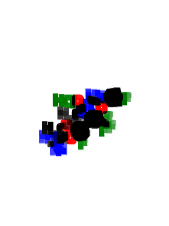 COc1cc(-c2cc(C(F)(F)F)cc3c2n(C)c(=O)n3CC(=O)Nc2ccc(F)cc2)cc(F)c1OCc1nnc[nH]1.Cl